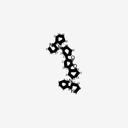 c1ccc2c(c1)c1ncccc1n2-c1ccc2oc3c(ccc4c5cc(-n6c7ccccc7c7ncccc76)ccc5oc43)c2c1